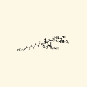 CCCCCCCCCCCCCCCCCC(=O)NC(CCCCNC(=N)N[N+](=O)[O-])C(=O)NCCCCCC